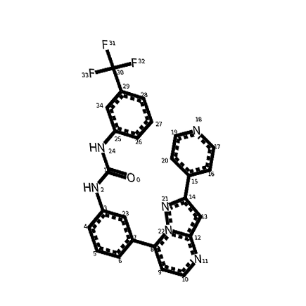 O=C(Nc1cccc(-c2ccnc3cc(-c4ccncc4)nn23)c1)Nc1cccc(C(F)(F)F)c1